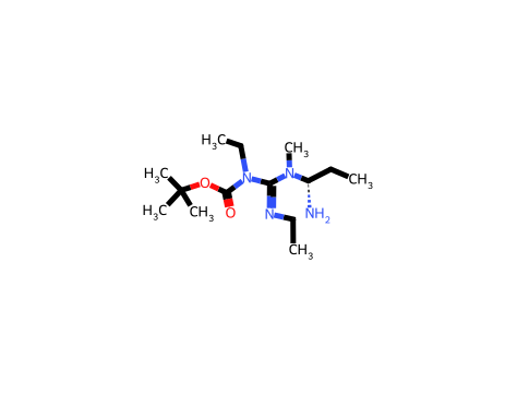 CC/N=C(/N(CC)C(=O)OC(C)(C)C)N(C)[C@@H](N)CC